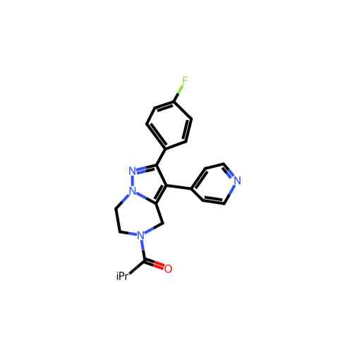 CC(C)C(=O)N1CCn2nc(-c3ccc(F)cc3)c(-c3ccncc3)c2C1